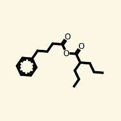 CCCC(CCC)C(=O)OC(=O)CCCc1ccccc1